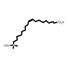 CCCCCCCC[Si](C)(C)CCCCCCCC/C=C\CCCCCCCC(=O)O